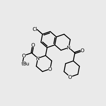 CC(C)(C)OC(=O)N1CCOCC1c1cc(Cl)cc2c1CN(C(=O)C1CCOCC1)CC2